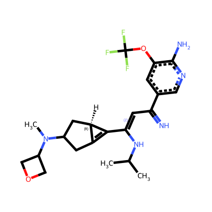 CC(C)N/C(=C\C(=N)c1cnc(N)c(OC(F)(F)F)c1)C1=C2CC(N(C)C3COC3)C[C@H]21